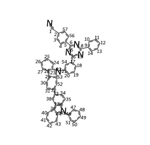 N#Cc1ccc(-c2nc(-c3ccccc3)nc(-c3cccc(-n4c5ccccc5c5ccc(-c6ccc7c(c6)c6ccccc6n7-c6ccccc6)cc54)c3)n2)cc1